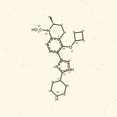 C[C@H]1CCc2c(ccc(-c3c[nH]c(C4CCNCC4)n3)c2OC2CCC2)N1C(=O)O